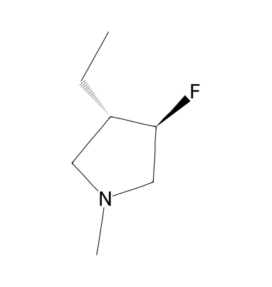 CC[C@H]1CN(C)C[C@@H]1F